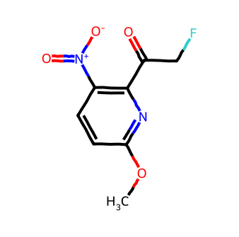 COc1ccc([N+](=O)[O-])c(C(=O)CF)n1